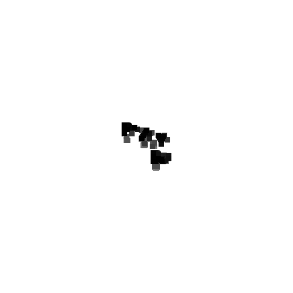 [Ba].[Pr].[Y].[Zr]